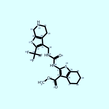 COC(=O)c1c(NC(=O)NCc2c(C(F)(F)F)sc3c2CCNC3)sc2c1CCCC2